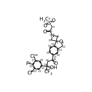 CS(=O)(=O)CC(=O)N1CC2(C1)OCc1cc(C(=O)C[C@](O)(c3cc(Cl)c(F)c(Cl)c3)C(F)(F)F)ccc12